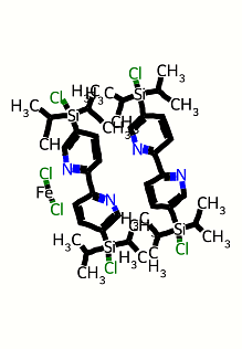 CC(C)[Si](Cl)(c1ccc(-c2ccc([Si](Cl)(C(C)C)C(C)C)cn2)nc1)C(C)C.CC(C)[Si](Cl)(c1ccc(-c2ccc([Si](Cl)(C(C)C)C(C)C)cn2)nc1)C(C)C.[Cl][Fe][Cl]